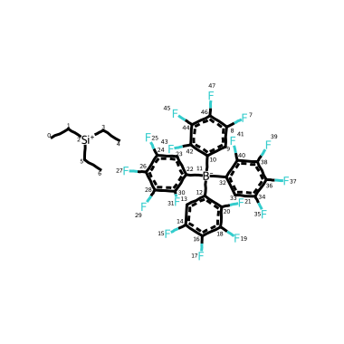 CC[Si+](CC)CC.Fc1cc([B-](c2cc(F)c(F)c(F)c2F)(c2cc(F)c(F)c(F)c2F)c2cc(F)c(F)c(F)c2F)c(F)c(F)c1F